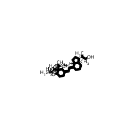 CC(CO)[C@H]1CC[C@H]2/C(=C/C=C3/CCC(O[SiH](C)C)C(C(C)(C)C)(C(C)(C)C)[C@H]3C)CCC[C@]12C